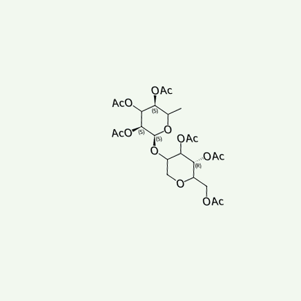 CC(=O)OCC1OCC(O[C@@H]2OC(C)[C@H](OC(C)=O)C(OC(C)=O)[C@@H]2OC(C)=O)C(OC(C)=O)[C@@H]1OC(C)=O